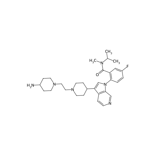 CC(C)N(C)C(=O)c1cc(F)ccc1-n1cc(C2CCN(CCN3CCC(N)CC3)CC2)c2ccncc21